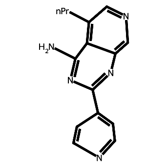 CCCc1cncc2nc(-c3ccncc3)nc(N)c12